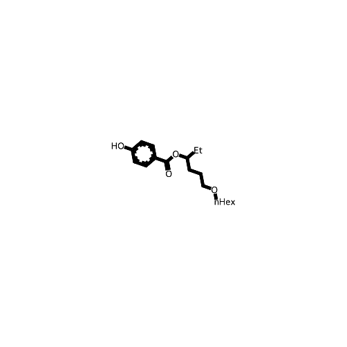 CCCCCCOCCCC(CC)OC(=O)c1ccc(O)cc1